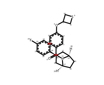 O=C(c1ccc(OC2CSC2)cc1)N1[C@@H]2CC[C@H]1C[C@@H](c1ccc(F)cc1)C2